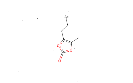 CC(=O)CCc1oc(=O)oc1C